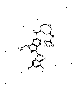 CC(C)(C)OC(=O)NC1COCCN(C(=O)c2cc3c(cn2)c(-c2cnc4c(F)cc(F)cn24)nn3CC(F)(F)F)C1